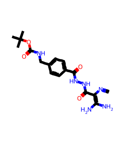 C=NC(C(=O)NNC(=O)c1ccc(CNC(=O)OC(C)(C)C)cc1)=C(N)N